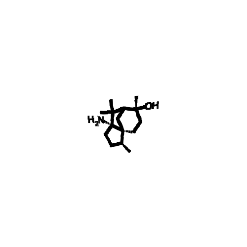 C[C@H]1CC[C@@]2(N)C(C)(C)C3C[C@@]12CC[C@@]3(C)O